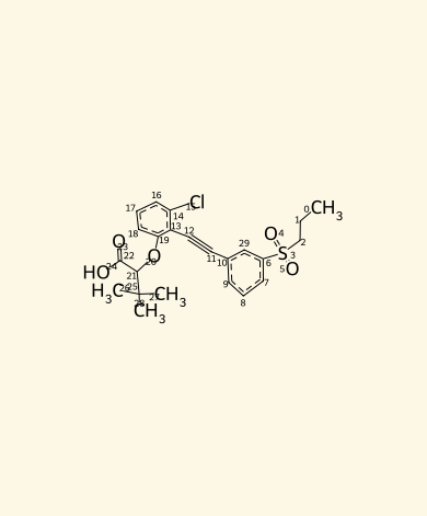 CCCS(=O)(=O)c1cccc(C#Cc2c(Cl)cccc2OC(C(=O)O)C(C)(C)C)c1